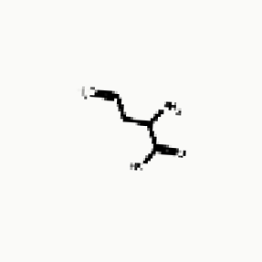 C=CCC(P)C(=O)S